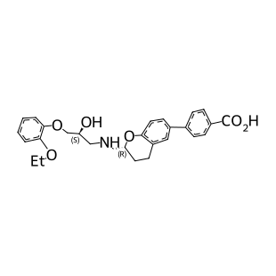 CCOc1ccccc1OC[C@@H](O)CNC[C@H]1CCc2cc(-c3ccc(C(=O)O)cc3)ccc2O1